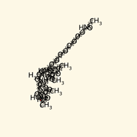 CCCC(=O)NCCOCCOCCOCCOCCOCCOCCOCCOCCC(=O)NCC(=O)N[C@@H](C)C(=O)Nc1ccc(COC(=O)N2c3cc(OCCCCCOc4cc5c(cc4OC)C(=O)N4C=C(C)CC4CN5)c(OC)cc3C(=O)N3C=C(C)C[C@H]3[C@@H]2O)cc1